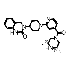 C[C@@H]1CN(C(=O)c2ccnc(N3CCC(N4Cc5ccccc5NC4=O)CC3)c2)C[C@H](C)N1